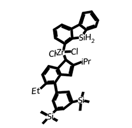 CCc1ccc2c(c1-c1cc([Si](C)(C)C)cc([Si](C)(C)C)c1)C=C(C(C)C)[CH]2[Zr]([Cl])([Cl])[c]1cccc2c1[SiH2]c1ccccc1-2